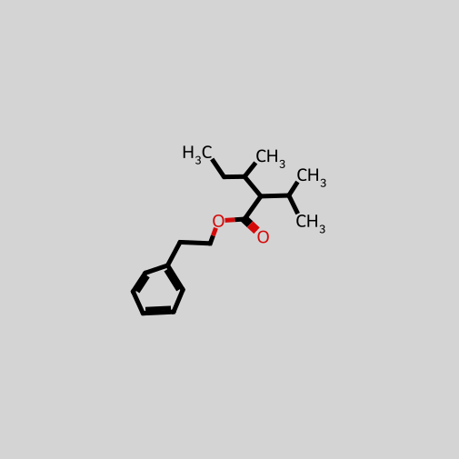 CCC(C)C(C(=O)OCCc1ccccc1)C(C)C